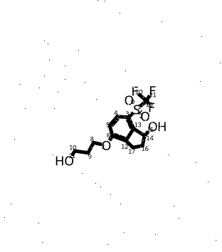 O=S(=O)(c1ccc(OCCCO)c2c1C(O)CC2)C(F)(F)F